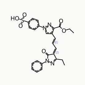 CCOC(=O)c1nn(-c2ccc(S(=O)(=O)O)cc2)cc1/C=C/C=C1\C(=O)N(c2ccccc2)N=C1CC